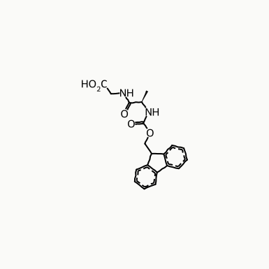 C[C@@H](NC(=O)OCC1c2ccccc2-c2ccccc21)C(=O)NCC(=O)O